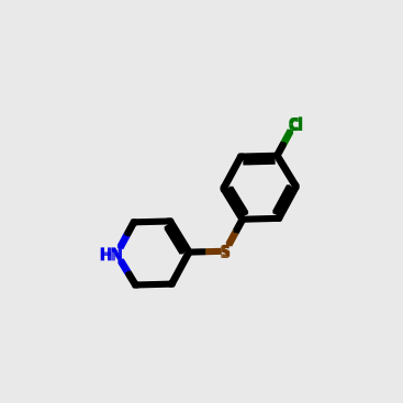 Clc1ccc(SC2=CCNCC2)cc1